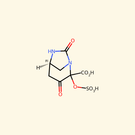 O=C1N[C@@H]2CC(=O)C(OS(=O)(=O)O)(C(=O)O)N1C2